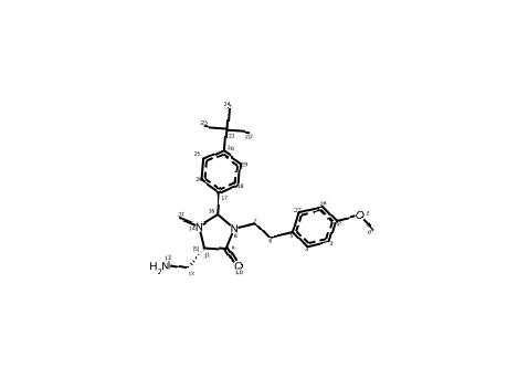 COc1ccc(CCN2C(=O)[C@H](CN)N(C)C2c2ccc(C(C)(C)C)cc2)cc1